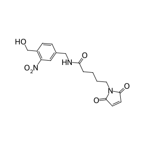 O=C(CCCCN1C(=O)C=CC1=O)NCc1ccc(CO)c([N+](=O)[O-])c1